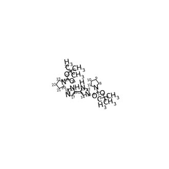 CC(C)(C)OC(=O)N1CCC[C@H]1c1ncc(-c2cnc([C@@H]3CCCN3C(=O)OC(C)(C)C)[nH]2)[nH]1